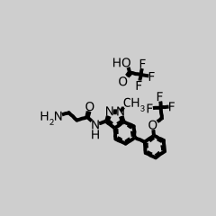 Cn1nc(NC(=O)CCN)c2ccc(-c3ccccc3OCC(F)(F)F)cc21.O=C(O)C(F)(F)F